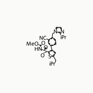 COC(=O)NS(=O)(=O)c1sc(CC(C)C)cc1-c1ccc(Cn2ccnc2C(C)C)c(C#N)c1